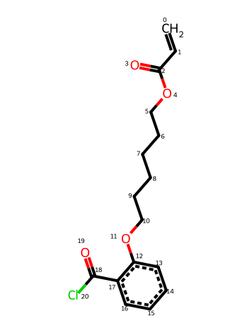 C=CC(=O)OCCCCCCOc1ccccc1C(=O)Cl